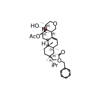 CC(=O)O[C@@H]1C[C@@]23COC[C@@](C)([C@@H]2CC[C@H]2C3=CC[C@@]3(C)[C@H](C(=O)OCc4ccccc4)[C@@](C)([C@H](C)C(C)C)CC[C@]23C)[C@H]1O